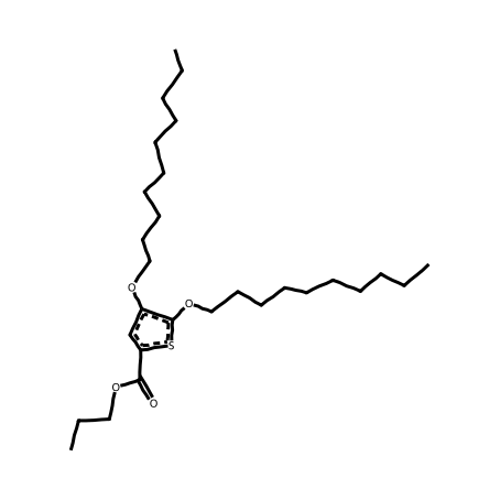 CCCCCCCCCCOc1cc(C(=O)OCCC)sc1OCCCCCCCCCC